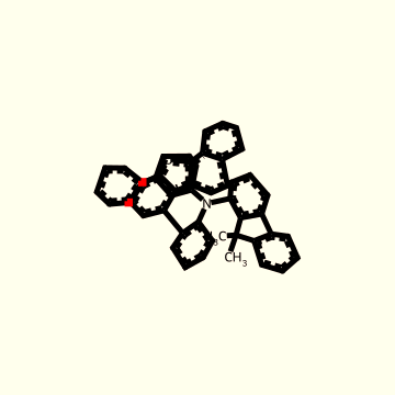 CC1(C)c2ccccc2-c2cccc(N(c3cccc(-c4ccccc4)c3)c3ccccc3-c3cccc4oc5c6ccccc6ccc5c34)c21